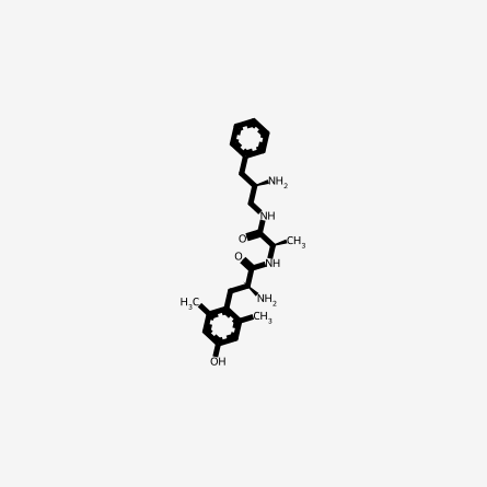 Cc1cc(O)cc(C)c1C[C@H](N)C(=O)N[C@H](C)C(=O)NC[C@H](N)Cc1ccccc1